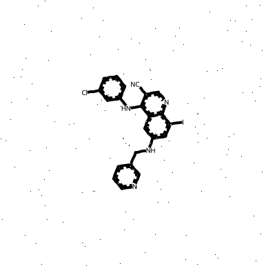 N#Cc1cnc2c(I)cc(NCc3cccnc3)cc2c1Nc1cccc(Cl)c1